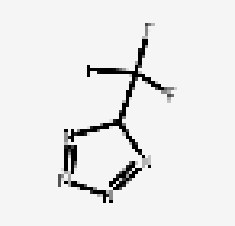 FC(F)(F)[C]1N=NN=N1